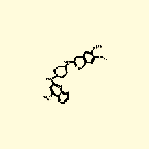 COc1cc(Br)c(CC(=O)NC2CCC(Nc3cc(C)c4ccccc4n3)CC2)cc1OC